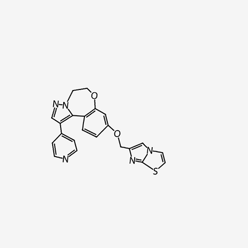 c1cc(-c2cnn3c2-c2ccc(OCc4cn5ccsc5n4)cc2OCC3)ccn1